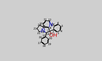 OC(c1ccccc1)(c1ccccn1)C(c1ccccc1)N1CCCC1